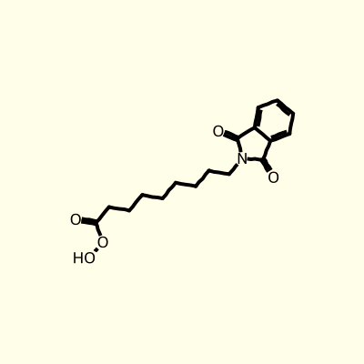 O=C(CCCCCCCCN1C(=O)c2ccccc2C1=O)OO